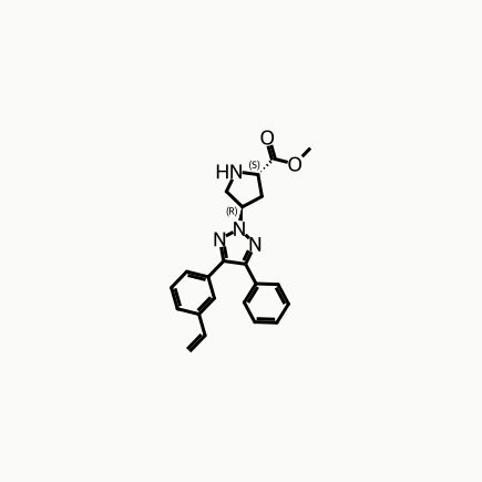 C=Cc1cccc(-c2nn([C@H]3CN[C@H](C(=O)OC)C3)nc2-c2ccccc2)c1